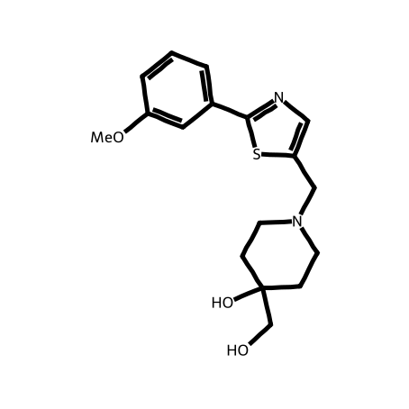 COc1cccc(-c2ncc(CN3CCC(O)(CO)CC3)s2)c1